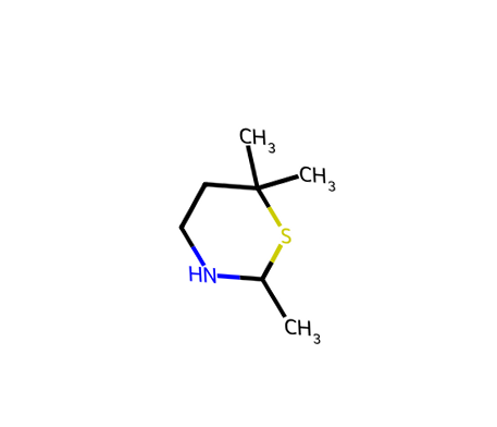 CC1NCCC(C)(C)S1